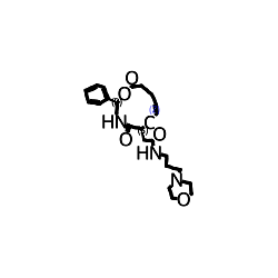 O=C(C[C@@H]1C/C=C\CCC(=O)O[C@H](c2ccccc2)CNC1=O)NCCCN1CCOCC1